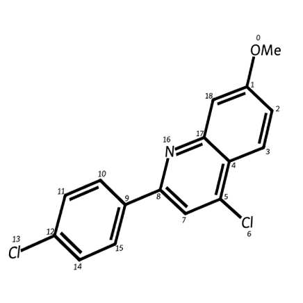 COc1ccc2c(Cl)cc(-c3ccc(Cl)cc3)nc2c1